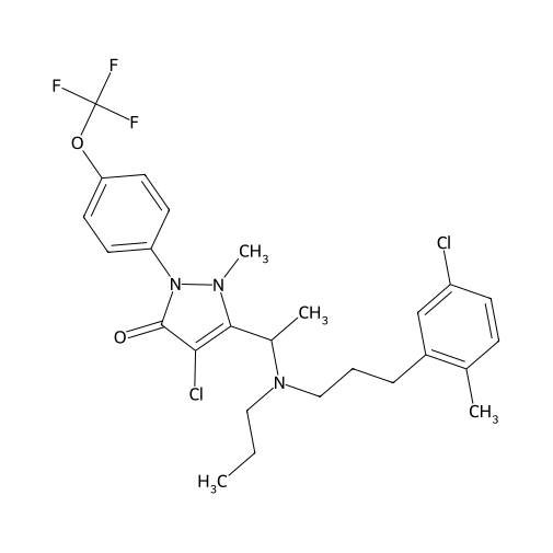 CCCN(CCCc1cc(Cl)ccc1C)C(C)c1c(Cl)c(=O)n(-c2ccc(OC(F)(F)F)cc2)n1C